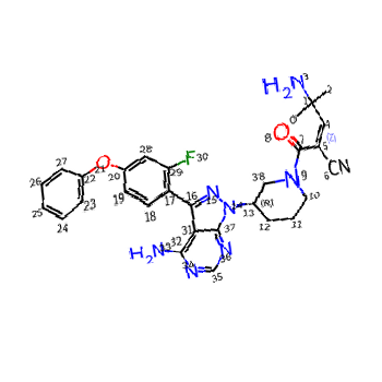 CC(C)(N)/C=C(/C#N)C(=O)N1CCC[C@@H](n2nc(-c3ccc(Oc4ccccc4)cc3F)c3c(N)ncnc32)C1